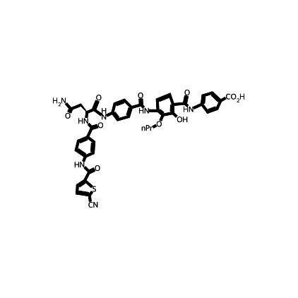 CCCOc1c(NC(=O)c2ccc(NC(=O)[C@H](CC(N)=O)NC(=O)c3ccc(NC(=O)c4ccc(C#N)s4)cc3)cc2)ccc(C(=O)Nc2ccc(C(=O)O)cc2)c1O